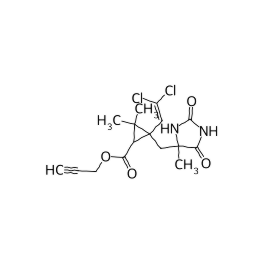 C#CCOC(=O)C1C(C)(C)C1(C=C(Cl)Cl)CC1(C)NC(=O)NC1=O